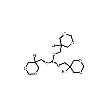 CCC1(COP(OCC2(CC)COCOC2)OCC2(CC)COCOC2)COCOC1